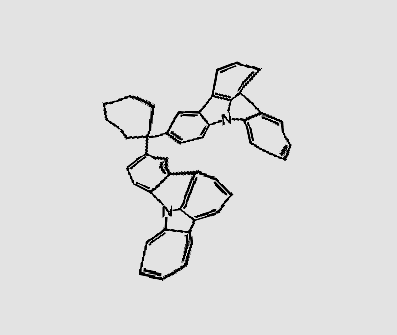 c1ccc2c(c1)c1cccc3c4cc(C5(c6ccc7c(c6)c6cccc8c9ccccc9n7c86)CCCCC5)ccc4n2c13